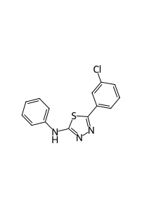 Clc1cccc(-c2nnc(Nc3ccccc3)s2)c1